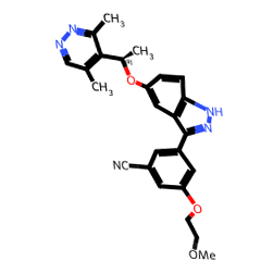 COCCOc1cc(C#N)cc(-c2n[nH]c3ccc(O[C@H](C)c4c(C)cnnc4C)cc23)c1